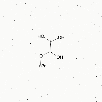 CCCOC(O)[C](O)O